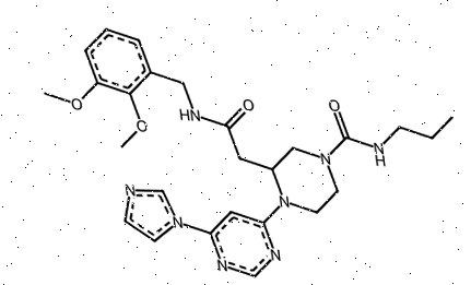 CCCNC(=O)N1CCN(c2cc(-n3ccnc3)ncn2)C(CC(=O)NCc2cccc(OC)c2OC)C1